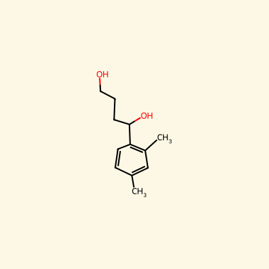 Cc1ccc(C(O)CCCO)c(C)c1